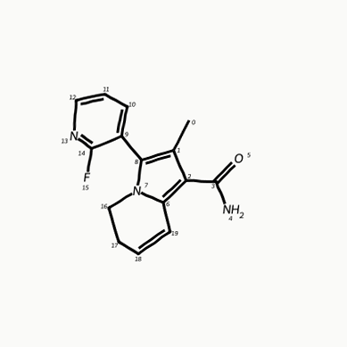 Cc1c(C(N)=O)c2n(c1-c1cccnc1F)CCC=C2